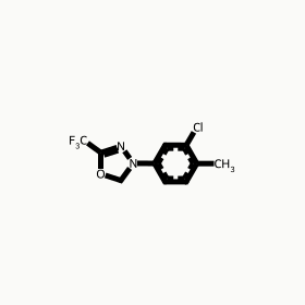 Cc1ccc(N2COC(C(F)(F)F)=N2)cc1Cl